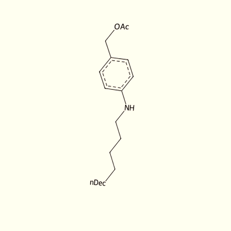 CCCCCCCCCCCCCCNc1ccc(COC(C)=O)cc1